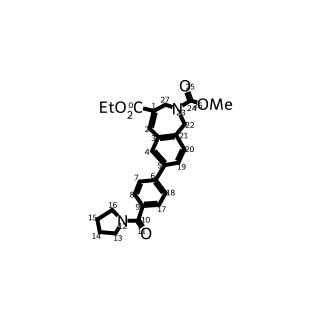 CCOC(=O)C1=Cc2cc(-c3ccc(C(=O)N4CCCC4)cc3)ccc2CN(C(=O)OC)C1